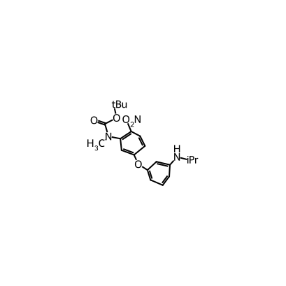 CC(C)Nc1cccc(Oc2ccc([N+](=O)[O-])c(N(C)C(=O)OC(C)(C)C)c2)c1